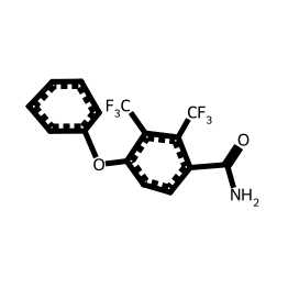 NC(=O)c1ccc(Oc2ccccc2)c(C(F)(F)F)c1C(F)(F)F